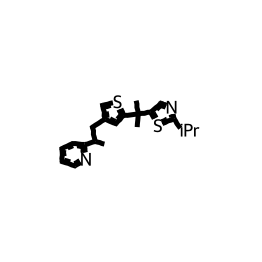 CC(C)c1ncc(C(C)(C)c2cc(CC(C)c3ccccn3)cs2)s1